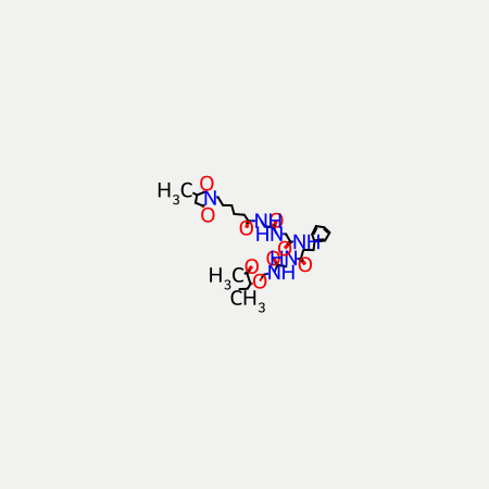 CCCC(OCNC(=O)CNC(=O)C(Cc1ccccc1)NC(=O)CNC(=O)CNC(=O)CCCCCN1C(=O)CC(C)C1=O)C(C)=O